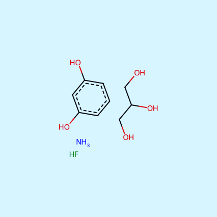 F.N.OCC(O)CO.Oc1cccc(O)c1